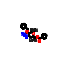 CC(=O)O[C@H]1OC(COC(=O)c2ccccc2)[C@H](OC(C)=O)[C@H](N=[N+]=[N-])C1OCc1ccccc1